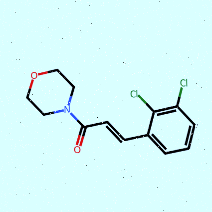 O=C(/C=C/c1cc[c]c(Cl)c1Cl)N1CCOCC1